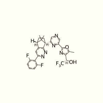 Cc1oc(-c2cncc([C@]34CC[C@@H](c5cc(-c6c(F)cccc6F)nnc53)C4(C)C)n2)nc1[C@H](O)C(F)(F)F